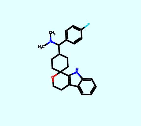 CN(C)C(c1ccc(F)cc1)C1CCC2(CC1)OCCc1c2[nH]c2ccccc12